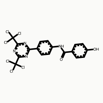 O=C(Nc1ccc(-c2nc(C(Cl)(Cl)Cl)nc(C(Cl)(Cl)Cl)n2)cc1)c1ccc(O)cc1